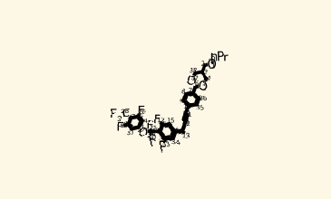 CCCOCC1COC(c2ccc(C#CCc3cc(F)c(C(F)(F)Oc4cc(F)c(C(F)(F)F)c(F)c4)c(F)c3)cc2)OC1